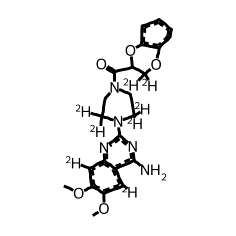 [2H]c1c(OC)c(OC)c([2H])c2c(N)nc(N3C([2H])([2H])CN(C(=O)C4Oc5ccccc5OC4([2H])[2H])CC3([2H])[2H])nc12